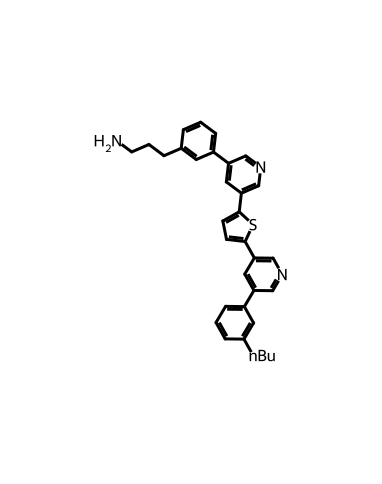 CCCCc1cccc(-c2cncc(-c3ccc(-c4cncc(-c5cccc(CCCN)c5)c4)s3)c2)c1